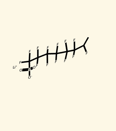 CC(F)C(F)(F)C(F)(F)C(F)(F)C(F)(F)C(F)(F)C(F)(F)S(=O)(=O)[O-].[Li+]